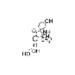 CC1(C)c2cc(OC[C@H](O)CO)ccc2C(=O)c2c1[nH]c1c2C=C=CC(O)=C1